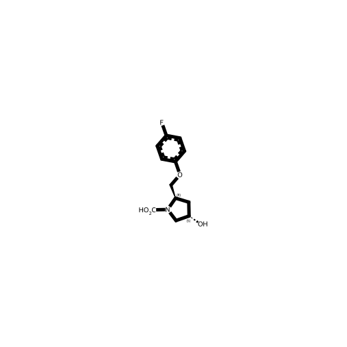 O=C(O)N1C[C@@H](O)C[C@@H]1COc1ccc(F)cc1